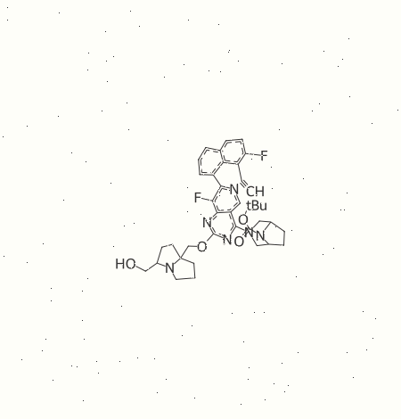 C#Cc1c(F)ccc2cccc(-c3ncc4c(N5CC6CCC(C5)N6C(=O)OC(C)(C)C)nc(OCC56CCCN5C(CO)CC6)nc4c3F)c12